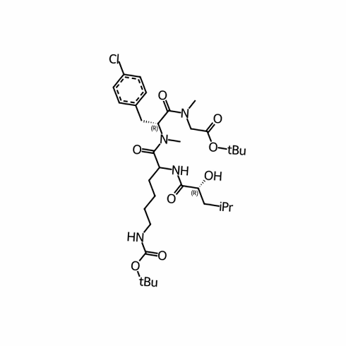 CC(C)C[C@@H](O)C(=O)NC(CCCCNC(=O)OC(C)(C)C)C(=O)N(C)[C@H](Cc1ccc(Cl)cc1)C(=O)N(C)CC(=O)OC(C)(C)C